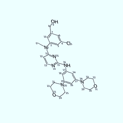 CN(c1cc(Cl)cc(CO)c1)c1ccnc(Nc2cc(N3CCOCC3)cc(N3CCOCC3)c2)n1